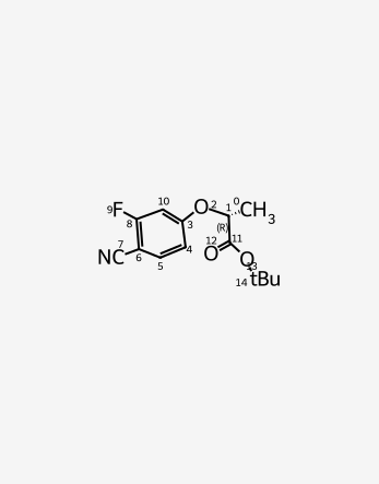 C[C@@H](Oc1ccc(C#N)c(F)c1)C(=O)OC(C)(C)C